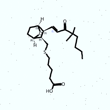 CCCCC(C)(C)C(=O)/C=C/[C@H]1[C@@H](CSCCCCC(=O)O)[C@H]2CC[C@@H]1O2